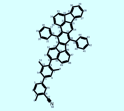 Cc1ccc(-c2cc(C)c(-c3ccc4c5c(-c6ccccc6)c6c(cc7c8ccccc8c8cccc6c87)c(-c6ccccc6)c5c5cccc3c54)c(C)c2)cc1C#N